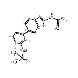 CC(=O)Nc1nc2ccc(-c3cncc(NC(C)(C)C)n3)cc2s1